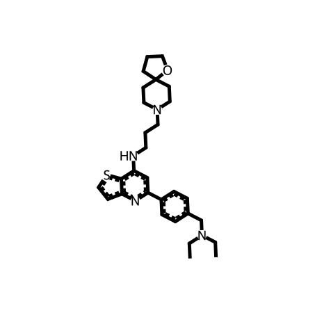 CCN(CC)Cc1ccc(-c2cc(NCCCN3CCC4(CCCO4)CC3)c3sccc3n2)cc1